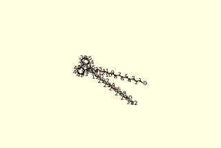 CCCCCCCCCCCCCCCCC1(CCCCCCCCCCCCCCCC)c2ccccc2-c2ccccc21